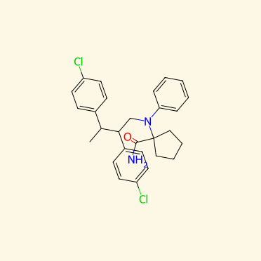 CC(c1ccc(Cl)cc1)C(CN(c1ccccc1)C1(C(N)=O)CCCC1)c1ccc(Cl)cc1